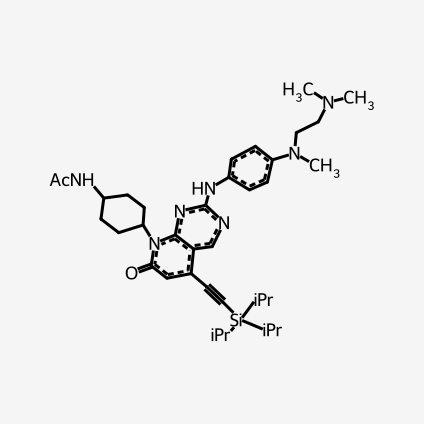 CC(=O)NC1CCC(n2c(=O)cc(C#C[Si](C(C)C)(C(C)C)C(C)C)c3cnc(Nc4ccc(N(C)CCN(C)C)cc4)nc32)CC1